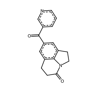 O=C(c1cccnc1)c1cc2c3c(c1)CCN3C(=O)CC2